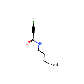 CCCCCCCCNC(=O)C#CCl